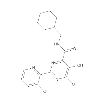 O=C(NCC1CCCCC1)c1nc(-c2ncccc2Cl)nc(O)c1O